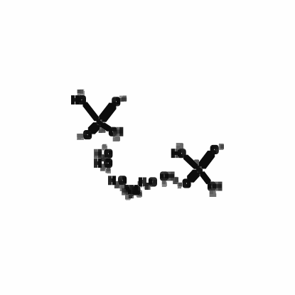 N.O.O.O.O.O.O.O=S(=O)(O)O.O=S(=O)(O)O